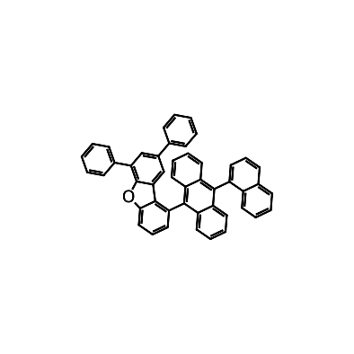 c1ccc(-c2cc(-c3ccccc3)c3oc4cccc(-c5c6ccccc6c(-c6cccc7ccccc67)c6ccccc56)c4c3c2)cc1